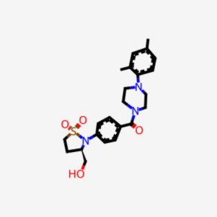 Cc1ccc(N2CCN(C(=O)c3ccc(N4[C@@H](CO)CCS4(=O)=O)cc3)CC2)c(C)c1